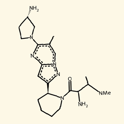 CNC(C)C(N)C(=O)N1CCCC[C@H]1c1cc2nc(N3CC[C@H](N)C3)c(C)cn2n1